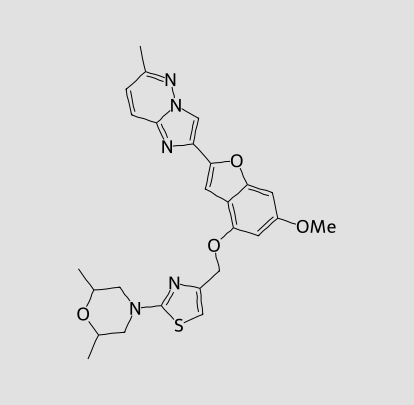 COc1cc(OCc2csc(N3CC(C)OC(C)C3)n2)c2cc(-c3cn4nc(C)ccc4n3)oc2c1